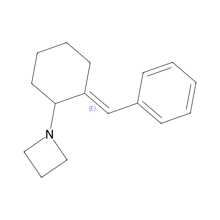 C(=C1/CCCCC1N1CCC1)/c1ccccc1